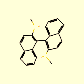 C[S+]([O-])c1ccc2ccccc2c1-c1c([S+](C)[O-])ccc2ccccc12